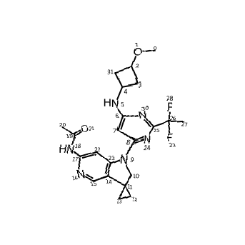 COC1CC(Nc2cc(N3CC4(CC4)c4cnc(NC(C)=O)cc43)nc(C(C)(F)F)n2)C1